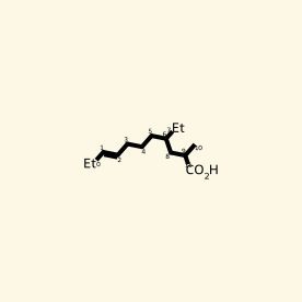 CCC=CCCCC(CC)CC(C)C(=O)O